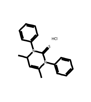 CC1=CC(C)N(c2ccccc2)C(=S)N1c1ccccc1.Cl